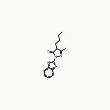 CCCCC1C(=O)N(c2nc3ccccc3[nH]2)N=C1C